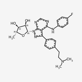 C[C@H]1O[C@@H](n2nc(-c3ccc(CCN(C)C)cc3)c3c(Nc4ccc(F)cc4)ncnc32)[C@H](O)[C@@H]1O